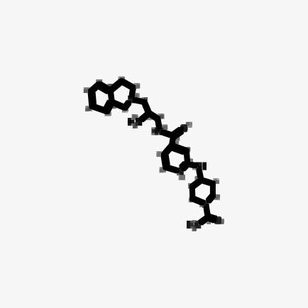 CC(=O)N1CCC(Nc2cc(C(=O)NCC(N)CN3CCc4ccccc4C3)ccn2)CC1